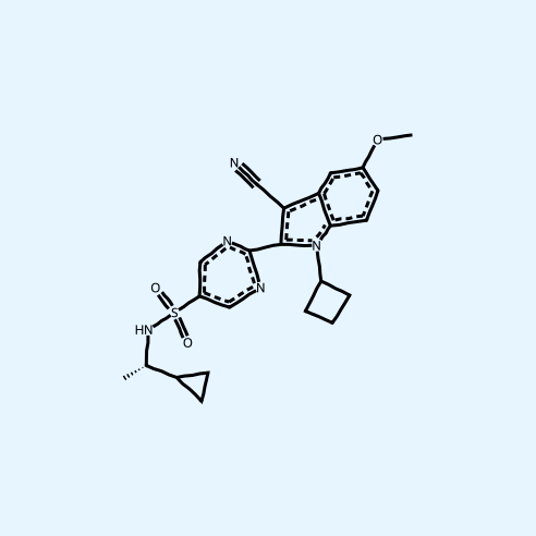 COc1ccc2c(c1)c(C#N)c(-c1ncc(S(=O)(=O)N[C@@H](C)C3CC3)cn1)n2C1CCC1